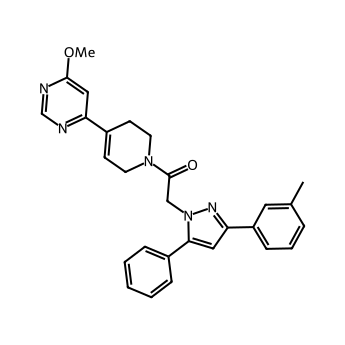 COc1cc(C2=CCN(C(=O)Cn3nc(-c4cccc(C)c4)cc3-c3ccccc3)CC2)ncn1